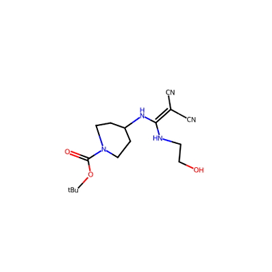 CC(C)(C)OC(=O)N1CCC(NC(NCCO)=C(C#N)C#N)CC1